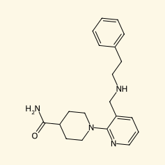 NC(=O)C1CCN(c2ncccc2CNCCc2ccccc2)CC1